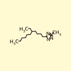 CCCCCCC(CC)CCCCc1nnn(C)n1